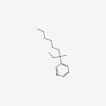 CCCCCCC(C)(CC)c1cccnc1